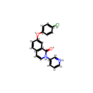 O=c1c2cc(Oc3ccc(Cl)cc3)ccc2ccn1-c1cccnc1